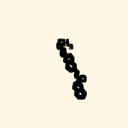 COCOc1ccc2cc(C=CC(=O)c3ccc4ccccc4c3)ccc2c1